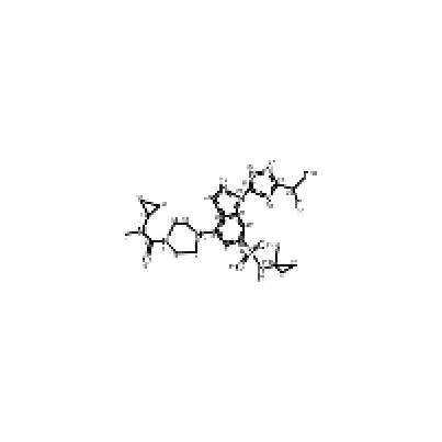 CN(C(=O)N1CCN(c2cc(S(=O)(=O)NC3(C)CC3)cc3c2cnn3-c2nnc(C(F)F)s2)CC1)C1CC1